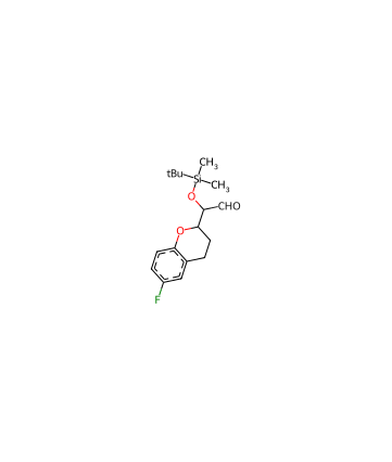 CC(C)(C)[Si](C)(C)OC(C=O)C1CCc2cc(F)ccc2O1